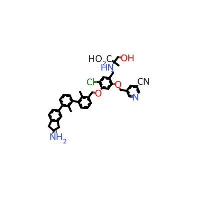 Cc1c(COc2cc(OCc3cncc(C#N)c3)c(CNC(C)(CO)C(=O)O)cc2Cl)cccc1-c1cccc(-c2ccc3c(c2)C[C@@H](N)C3)c1C